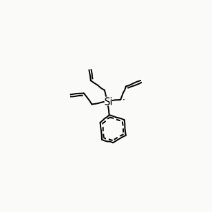 C=C[CH][Si](CC=C)(CC=C)c1ccccc1